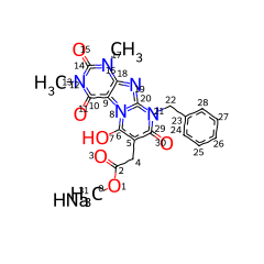 COC(=O)Cc1c(O)n2c3c(=O)n(C)c(=O)n(C)c3nc2n(Cc2ccccc2)c1=O.[NaH]